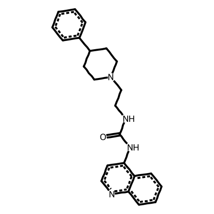 O=C(NCCN1CCC(c2ccccc2)CC1)Nc1ccnc2ccccc12